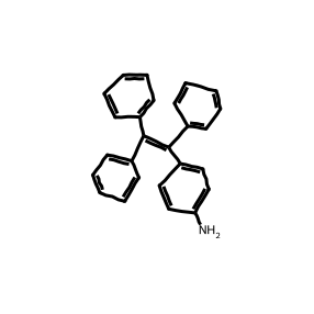 Nc1ccc(C(=C(c2ccccc2)c2ccccc2)c2ccccc2)cc1